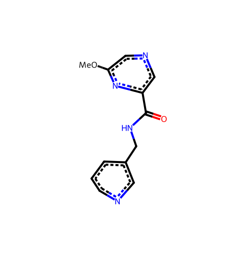 COc1cncc(C(=O)NCc2cccnc2)n1